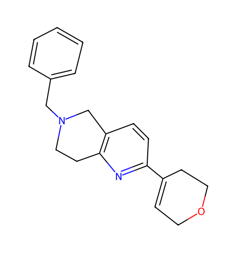 C1=C(c2ccc3c(n2)CCN(Cc2ccccc2)C3)CCOC1